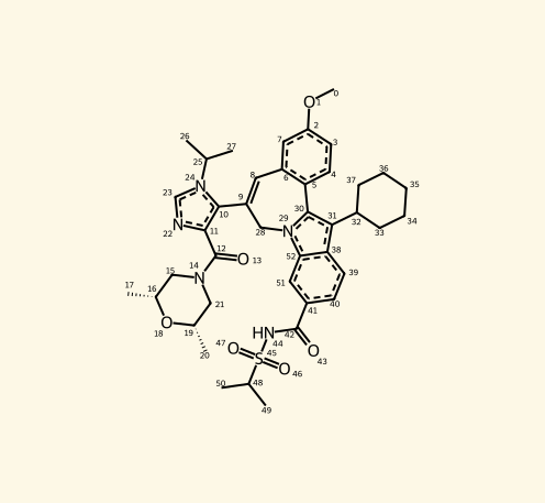 COc1ccc2c(c1)C=C(c1c(C(=O)N3C[C@@H](C)O[C@@H](C)C3)ncn1C(C)C)Cn1c-2c(C2CCCCC2)c2ccc(C(=O)NS(=O)(=O)C(C)C)cc21